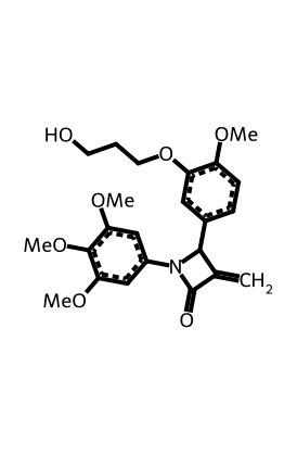 C=C1C(=O)N(c2cc(OC)c(OC)c(OC)c2)C1c1ccc(OC)c(OCCCO)c1